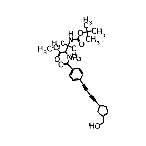 COC(=O)C(NC(=O)c1ccc(C#CC#CC2CCC(CO)C2)cc1)C(C)(C)NC(=O)OC(C)(C)C